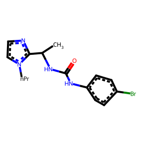 CCCn1ccnc1C(C)NC(=O)Nc1ccc(Br)cc1